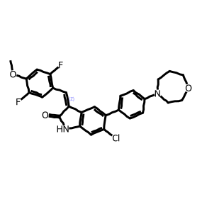 COc1cc(F)c(/C=C2\C(=O)Nc3cc(Cl)c(-c4ccc(N5CCCOCC5)cc4)cc32)cc1F